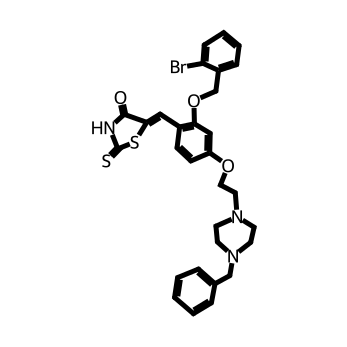 O=C1NC(=S)S/C1=C\c1ccc(OCCN2CCN(Cc3ccccc3)CC2)cc1OCc1ccccc1Br